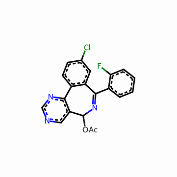 CC(=O)OC1N=C(c2ccccc2F)c2cc(Cl)ccc2-c2ncncc21